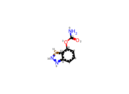 NC(=O)Oc1cccc2nnsc12